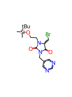 CC(C)(C)[Si](C)(C)OCCN1C(=O)N(Cc2cncnc2)C(=O)/C1=C/Br